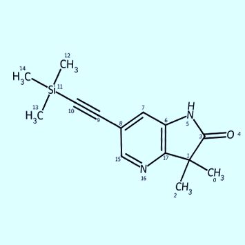 CC1(C)C(=O)Nc2cc(C#C[Si](C)(C)C)cnc21